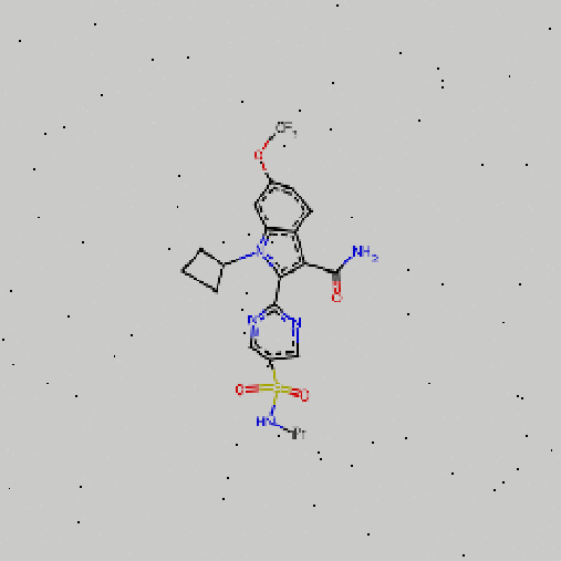 CC(C)NS(=O)(=O)c1cnc(-c2c(C(N)=O)c3ccc(OC(F)(F)F)cc3n2C2CCC2)nc1